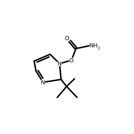 CC(C)(C)C1N=CC=CN1OC(N)=O